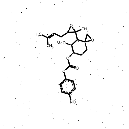 CO[C@H]1C(C2(C)OC2CC=C(C)C)[C@]2(CC[C@H]1OC(=O)Oc1ccc([N+](=O)[O-])cc1)CO2